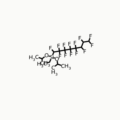 CC[Si](OC(C)C)(OC(C)C)C(F)C(F)(F)C(F)(F)C(F)(F)C(F)(F)C(F)C(F)C(F)F